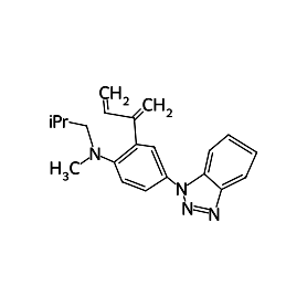 C=CC(=C)c1cc(-n2nnc3ccccc32)ccc1N(C)CC(C)C